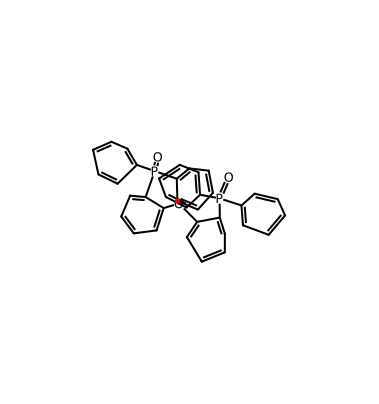 O=P(c1ccccc1)(c1ccccc1)c1ccccc1Oc1ccccc1P(=O)(c1ccccc1)c1ccccc1